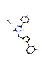 O=c1n(Cc2ccc(-c3cccc(F)c3F)s2)nc(-c2ccc(Cl)cc2)n1C[C@H](O)C(F)(F)F